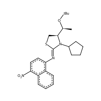 C[C@H](OC(C)(C)C)[C@@H]1CS/C(=N\c2ccc([N+](=O)[O-])c3ccccc23)N1C1CCCC1